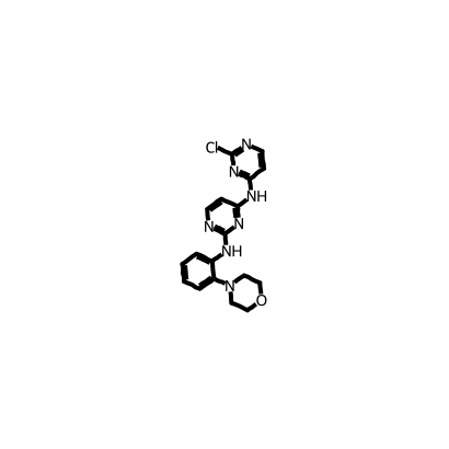 Clc1nccc(Nc2ccnc(Nc3ccccc3N3CCOCC3)n2)n1